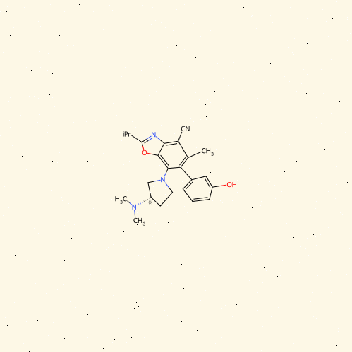 Cc1c(-c2cccc(O)c2)c(N2CC[C@H](N(C)C)C2)c2oc(C(C)C)nc2c1C#N